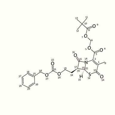 CC1=C(C(=O)OCOC(=O)C(C)(C)C)N2C(=O)[C@H](CCOC(=O)OCc3ccccc3)[C@@H]2SC1=O